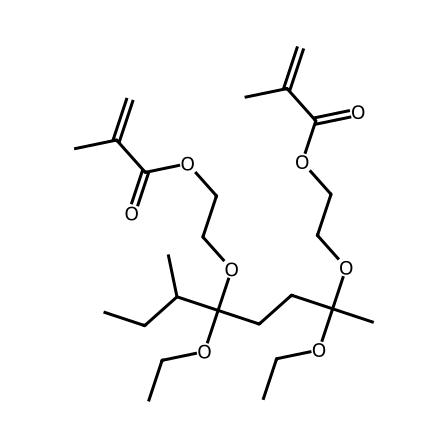 C=C(C)C(=O)OCCOC(C)(CCC(OCC)(OCCOC(=O)C(=C)C)C(C)CC)OCC